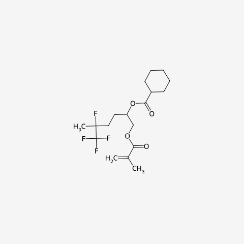 C=C(C)C(=O)OCC(CCC(C)(F)C(F)(F)F)OC(=O)C1CCCCC1